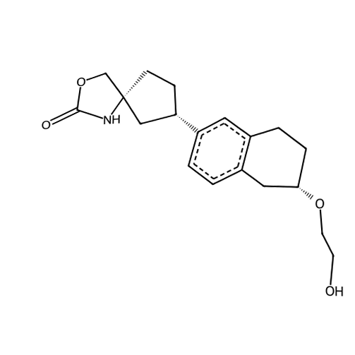 O=C1N[C@@]2(CC[C@H](c3ccc4c(c3)CC[C@H](OCCO)C4)C2)CO1